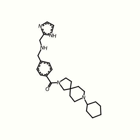 O=C(c1ccc(CNCc2ncc[nH]2)cc1)N1CCC2(CCN(C3CCCCC3)CC2)C1